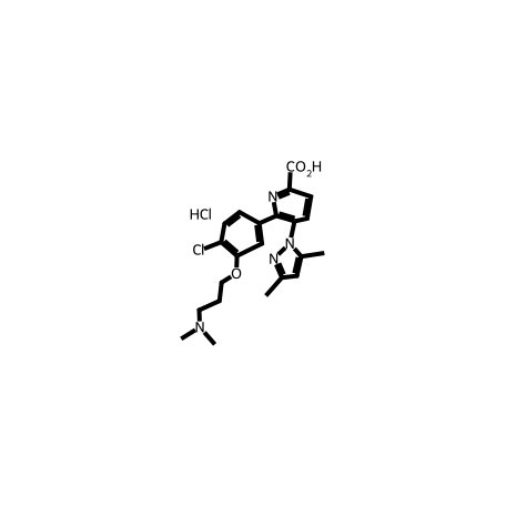 Cc1cc(C)n(-c2ccc(C(=O)O)nc2-c2ccc(Cl)c(OCCCN(C)C)c2)n1.Cl